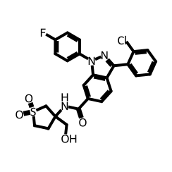 O=C(NC1(CO)CCS(=O)(=O)C1)c1ccc2c(-c3ccccc3Cl)nn(-c3ccc(F)cc3)c2c1